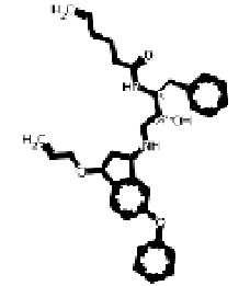 C=CCCCC(=O)N[C@@H](Cc1ccccc1)[C@H](O)CNC1CC(OCC=C)c2ccc(Oc3ccccc3)cc21